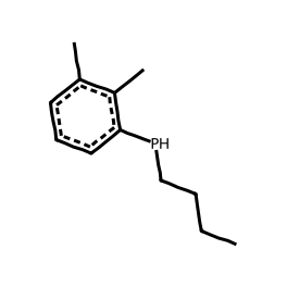 CCCCPc1cccc(C)c1C